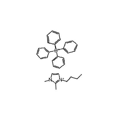 CCCC[n+]1ccn(C)c1C.c1ccc([B-](c2ccccc2)(c2ccccc2)c2ccccc2)cc1